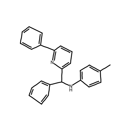 Cc1ccc(NC(c2ccccc2)c2cccc(-c3ccccc3)n2)cc1